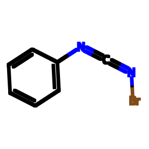 BrN=C=Nc1ccccc1